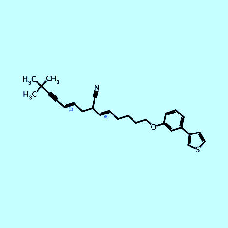 CC(C)(C)C#C/C=C/CC(C#N)/C=C/CCCCOc1cccc(-c2ccsc2)c1